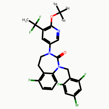 [2H]C([2H])([2H])Oc1ncc(N2CCc3c(F)cccc3N(Cc3c(F)cc(Br)cc3F)C2=O)cc1C(C)(F)F